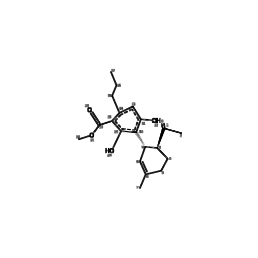 C=C(C)[C@H]1CCC(C)=C[C@@H]1c1c(O)cc(CCC)c(C(=O)OC)c1O